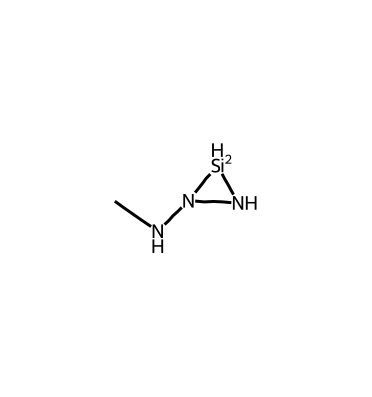 CNN1N[SiH2]1